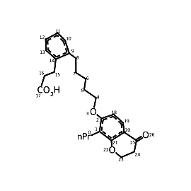 CCCc1c(OCCCCCc2ccccc2CCC(=O)O)ccc2c1OCCC2=O